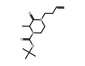 C=CCCN1CCN(C(=O)OC(C)(C)C)C(C)C1=O